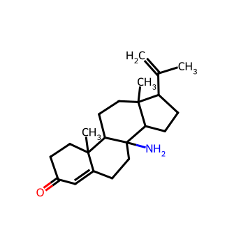 C=C(C)C1CCC2C1(C)CCC1C3(C)CCC(=O)C=C3CCC12N